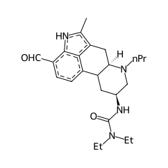 CCCN1C[C@@H](NC(=O)N(CC)CC)CC2c3ccc(C=O)c4[nH]c(C)c(c34)C[C@H]21